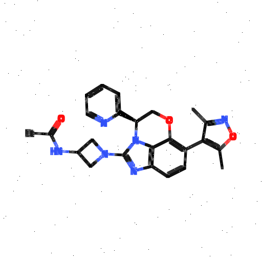 CCC(=O)NC1CN(c2nc3ccc(-c4c(C)noc4C)c4c3n2[C@@H](c2ccccn2)CO4)C1